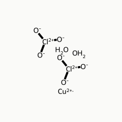 O.O.[Cu+2].[O-][Cl+2]([O-])[O-].[O-][Cl+2]([O-])[O-]